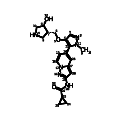 Cn1ncc(OC[C@@H]2CNC[C@H]2O)c1-c1ccn2nc(NC(=O)C3CC3)cc2c1